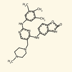 Cc1cc(Nc2ncc(CN3CCN(C)CC3)c(Nc3ccc4oc(=O)[nH]c4c3)n2)cc(C)c1C